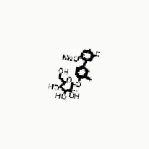 COc1ccc(Cl)cc1-c1ccc(O[C@H]2OC(CO)[C@@H](O)C(O)[C@]2(C)O)c(C)c1